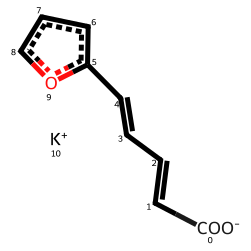 O=C([O-])C=CC=Cc1ccco1.[K+]